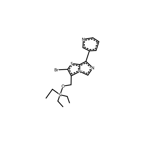 CC[Si](CC)(CC)OCc1c(Br)sc2c(-c3cccnc3)ncn12